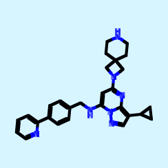 c1ccc(-c2ccc(CNc3cc(N4CC5(CCNCC5)C4)nc4c(C5CC5)cnn34)cc2)nc1